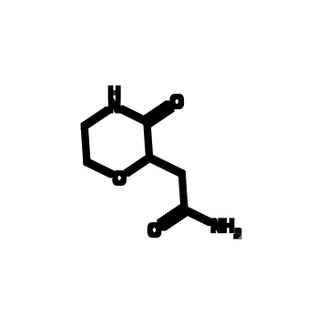 NC(=O)CC1OCCNC1=O